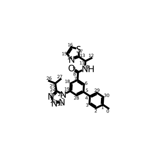 Cc1ccc(-c2cc(C(=O)NC(C)c3nccs3)cc(-n3nnnc3C(C)C)c2)cc1